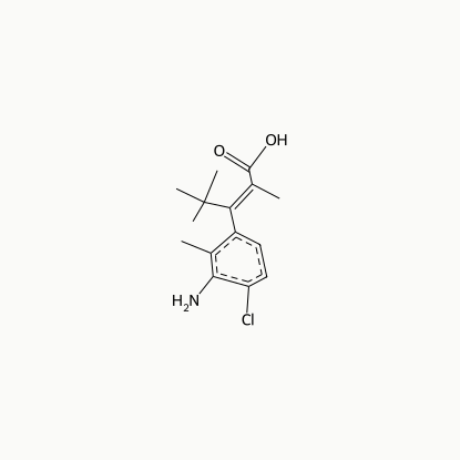 C/C(C(=O)O)=C(\c1ccc(Cl)c(N)c1C)C(C)(C)C